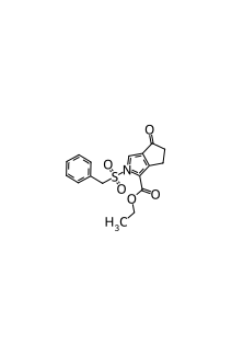 CCOC(=O)c1c2c(cn1S(=O)(=O)Cc1ccccc1)C(=O)CC2